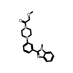 COCC(=O)N1CCN(c2cccc(-c3nc4ccccc4n3C)c2)CC1